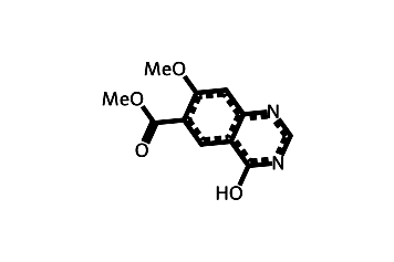 COC(=O)c1cc2c(O)ncnc2cc1OC